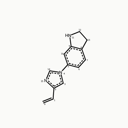 C=Cc1cn(-c2ccc3c(c2)NCC3)cn1